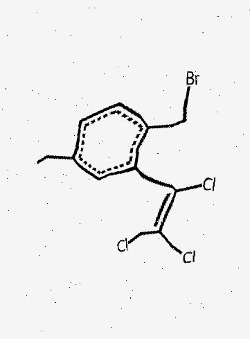 Cc1ccc(CBr)c(C(Cl)=C(Cl)Cl)c1